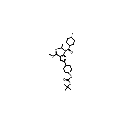 COC(=O)c1cc(C2CCN(OC(=O)OC(C)(C)C)CC2)sc1N(C(=O)[C@H]1CC[C@H](C)CC1)C(C)C